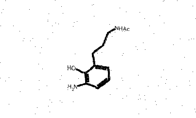 CC(=O)NCCCc1cccc(N)c1O